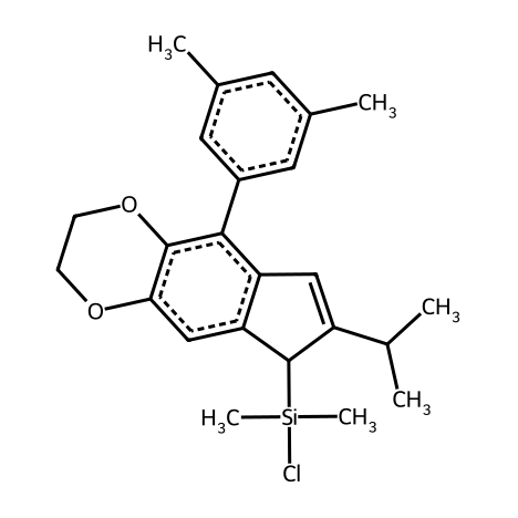 Cc1cc(C)cc(-c2c3c(cc4c2OCCO4)C([Si](C)(C)Cl)C(C(C)C)=C3)c1